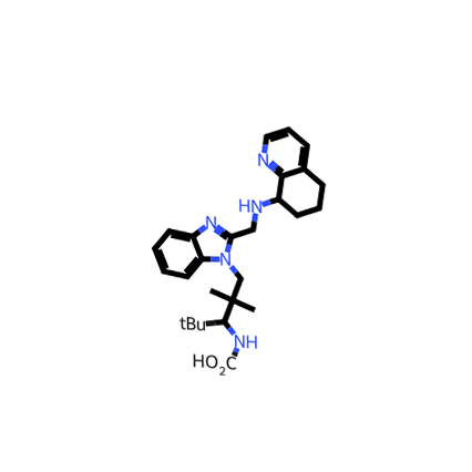 CC(C)(C)C(NC(=O)O)C(C)(C)Cn1c(CNC2CCCc3cccnc32)nc2ccccc21